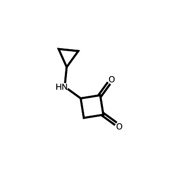 O=C1CC(NC2CC2)C1=O